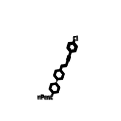 CCCCC[C@H]1CC[C@H](C2CCC(C=CC#Cc3ccc(Cl)cc3)CC2)CC1